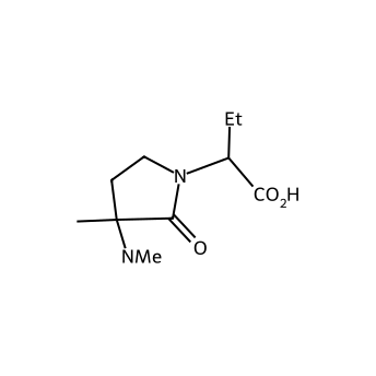 CCC(C(=O)O)N1CCC(C)(NC)C1=O